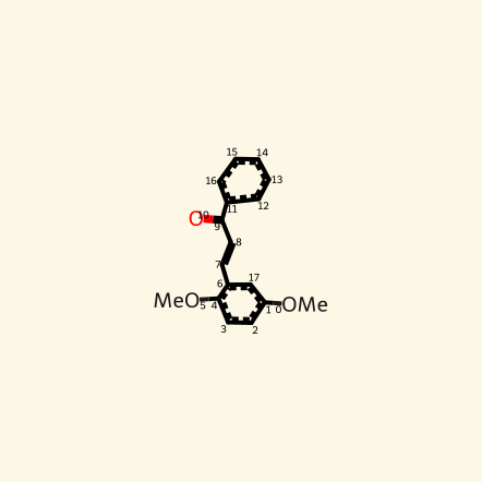 COc1ccc(OC)c(C=CC(=O)c2ccccc2)c1